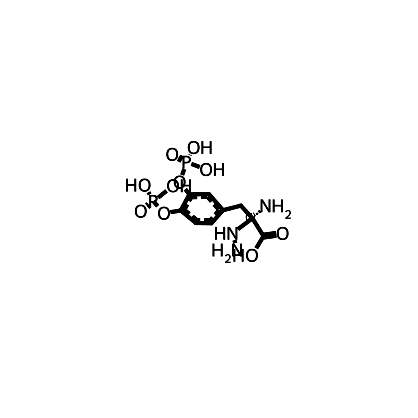 NN[C@@](N)(Cc1ccc(OP(=O)(O)O)c(OP(=O)(O)O)c1)C(=O)O